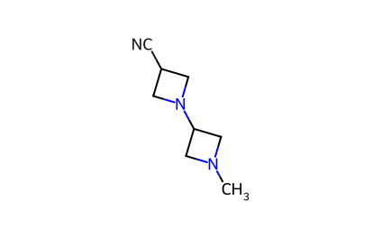 CN1CC(N2CC(C#N)C2)C1